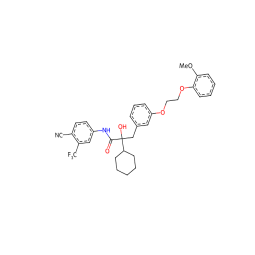 COc1ccccc1OCCOc1cccc(CC(O)(C(=O)Nc2ccc(C#N)c(C(F)(F)F)c2)C2CCCCC2)c1